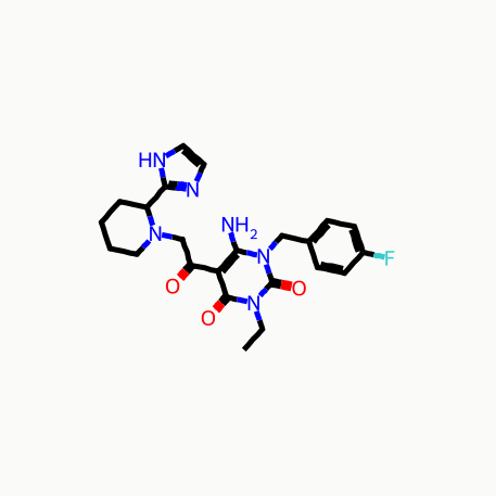 CCn1c(=O)c(C(=O)CN2CCCCC2c2ncc[nH]2)c(N)n(Cc2ccc(F)cc2)c1=O